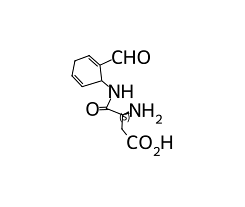 N[C@@H](CC(=O)O)C(=O)NC1C=CCC=C1C=O